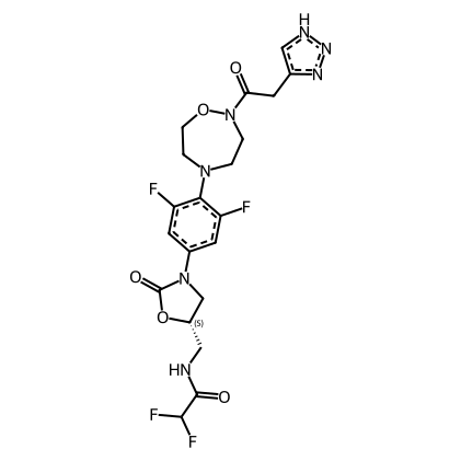 O=C(NC[C@H]1CN(c2cc(F)c(N3CCON(C(=O)Cc4c[nH]nn4)CC3)c(F)c2)C(=O)O1)C(F)F